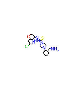 NCc1ccccc1N1CCN(C(=S)N/N=C2/CCOc3cc(Cl)cnc32)CC1